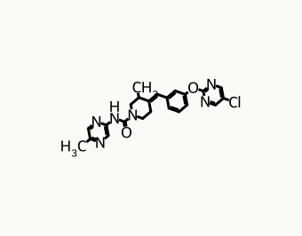 Cc1cnc(NC(=O)N2CCC(=Cc3cccc(Oc4ncc(Cl)cn4)c3)C(C)C2)cn1